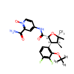 [2H]C([2H])([2H])Oc1c([C@@H]2[C@H](C(=O)Nc3cc[n+]([O-])c(C(N)=O)c3)O[C@](C)(C(F)(F)F)[C@H]2C)ccc(F)c1F